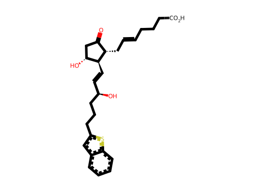 O=C(O)CCCC=CC[C@H]1C(=O)C[C@@H](O)[C@@H]1C=C[C@@H](O)CCCc1cc2ccccc2s1